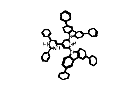 C1=CCC(C2NC(C3=CC(N4C5=C(CC(C6=CCCCC6)CC5)C5C=C(C6=CCCCC6)C=CC54)NC(N4C5=C(C=C(C6CC=CCC6)CC5)C5C=C(C6CC=CCC6)CCC54)C3)=CC(C3=CCCC=C3)N2)C=C1